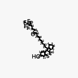 CC1(c2ccccc2)CSc2cc(O)ccc2C1CCCCCCCCC[S+]([O-])CCCC(F)(F)C(F)(F)F